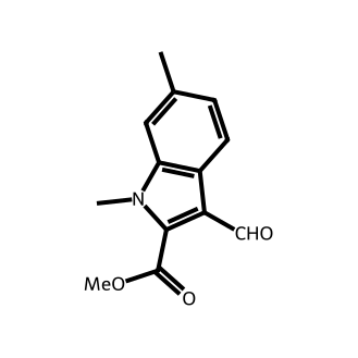 COC(=O)c1c(C=O)c2ccc(C)cc2n1C